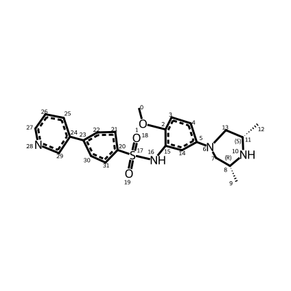 COc1ccc(N2C[C@@H](C)N[C@@H](C)C2)cc1NS(=O)(=O)c1ccc(-c2cccnc2)cc1